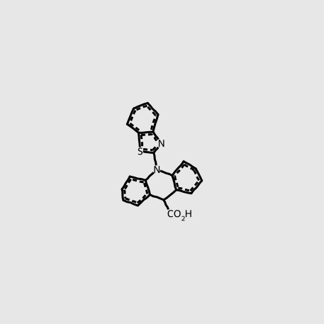 O=C(O)C1c2ccccc2N(c2nc3ccccc3s2)c2ccccc21